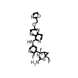 C[C@]1(c2cc(Nc3nccc4nc(OCc5ncco5)cnc34)cnc2F)N=C(N)S[C@@]2(CF)CC21